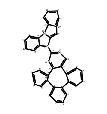 c1ccc2c(c1)-c1ccccc1-c1cnc(-n3c4ccccc4n4c5ccccc5cc34)nc1-c1ccccc1-2